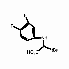 CC(C)(C)C(Nc1ccc(F)c(F)c1)C(=O)O